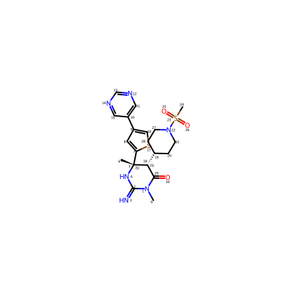 CN1C(=N)N[C@](C)(c2cc(-c3cncnc3)cs2)[C@H](C2CCN(S(C)(=O)=O)CC2)C1=O